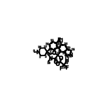 CN1CCC(COC(OC(=O)C(F)(F)F)(C(=O)N(C)C)c2cc(Cl)cc3cn[nH]c23)(c2ccc(F)cc2)CC1